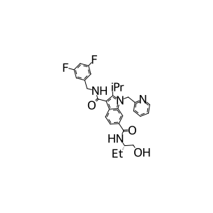 CC[C@@H](CO)NC(=O)c1ccc2c(C(=O)NCc3cc(F)cc(F)c3)c(C(C)C)n(Cc3ccccn3)c2c1